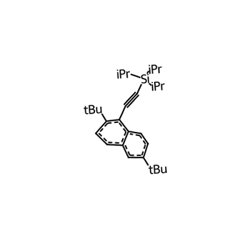 CC(C)[Si](C#Cc1c(C(C)(C)C)ccc2cc(C(C)(C)C)ccc12)(C(C)C)C(C)C